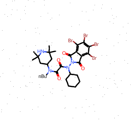 CCCCN(C(=O)C(=O)N(C1CCCCC1)N1C(=O)c2c(Br)c(Br)c(Br)c(Br)c2C1=O)C1CC(C)(C)NC(C)(C)C1